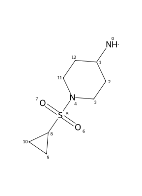 [NH]C1CCN(S(=O)(=O)C2CC2)CC1